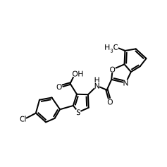 Cc1cccc2nc(C(=O)Nc3csc(-c4ccc(Cl)cc4)c3C(=O)O)oc12